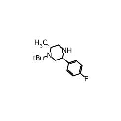 C[C@@H]1CN[C@@H](c2ccc(F)cc2)CN1C(C)(C)C